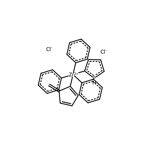 C=C1C=CC=[C]1[Zr+2]([c]1ccccc1)([c]1ccccc1)([c]1ccccc1)[c]1ccc[pH]1.[Cl-].[Cl-]